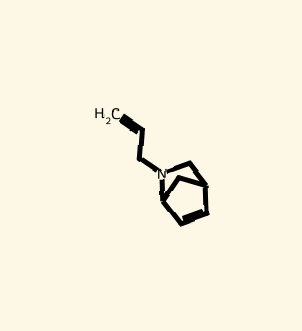 C=CCN1CC2C=CC1C2